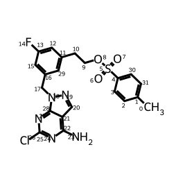 Cc1ccc(S(=O)(=O)OCCc2cc(F)cc(Cn3ncc4c(N)nc(Cl)nc43)c2)cc1